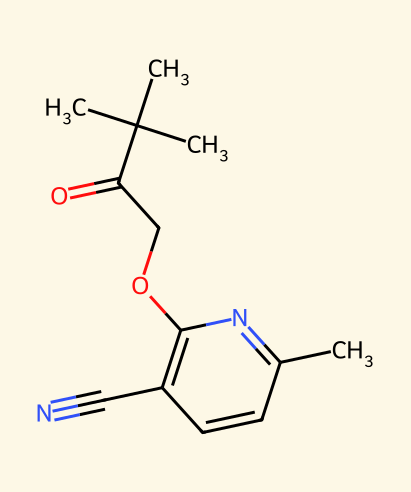 Cc1ccc(C#N)c(OCC(=O)C(C)(C)C)n1